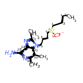 CCCC[S+]([O-])CCCCn1c(C)nc2c(N)nc(C)c(C)c21